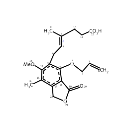 C=CCOc1c(C/C=C(\C)CCC(=O)O)c(OC)c(C)c2c1C(=O)OC2